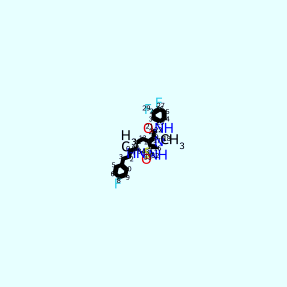 C[C@@H](CCc1ccc(F)cc1)[C@H]1CCc2c(cn(C)c2C(=O)Nc2ccc(F)c(F)c2)S(=N)(=O)N1